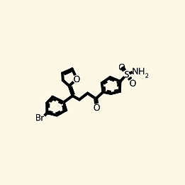 NS(=O)(=O)c1ccc(C(=O)CCC(=C2CC=CO2)c2ccc(Br)cc2)cc1